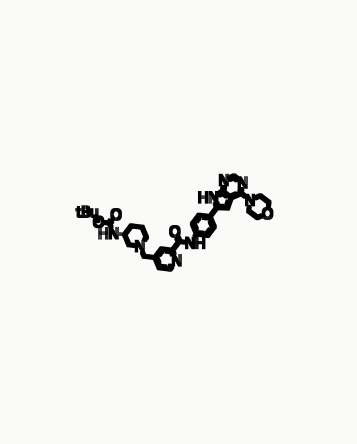 CC(C)(C)OC(=O)N[C@@H]1CCCN(Cc2ccnc(C(=O)Nc3ccc(-c4cc5c(N6CCOCC6)ncnc5[nH]4)cc3)c2)C1